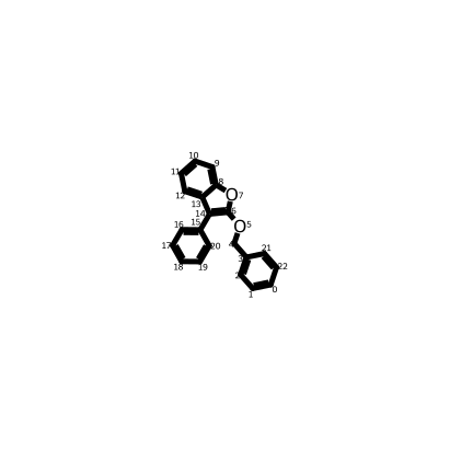 c1ccc(COc2oc3ccccc3c2-c2ccccc2)cc1